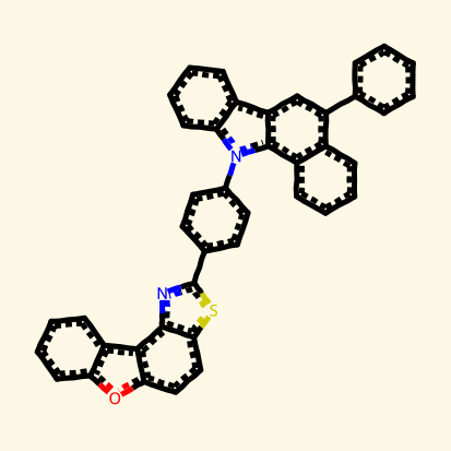 c1ccc(-c2cc3c4ccccc4n(-c4ccc(-c5nc6c(ccc7oc8ccccc8c76)s5)cc4)c3c3ccccc23)cc1